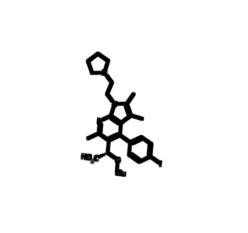 Cc1nc2c(c(C)c(C)n2CCN2CCCC2)c(-c2ccc(I)cc2)c1[C@H](OC(C)(C)C)C(=O)O